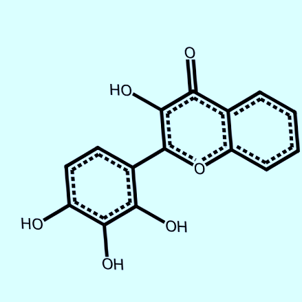 O=c1c(O)c(-c2ccc(O)c(O)c2O)oc2ccccc12